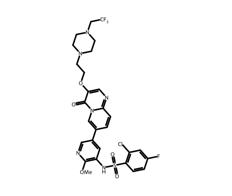 COc1ncc(-c2ccc3ncc(OCCN4CCN(CC(F)(F)F)CC4)c(=O)n3c2)cc1NS(=O)(=O)c1ccc(F)cc1Cl